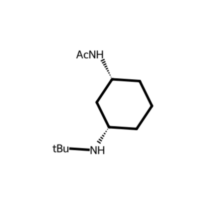 CC(=O)N[C@@H]1CCC[C@H](NC(C)(C)C)C1